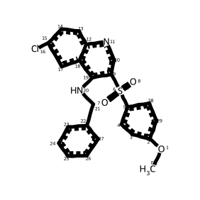 COc1ccc(S(=O)(=O)c2cnc3ccc(Cl)cc3c2NCc2ccccc2)cc1